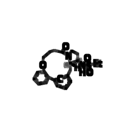 CCS(=O)(=O)N[C@H]1CCN2C(=O)CCCOc3ccccc3-c3cccc(c3)C[C@@H]12